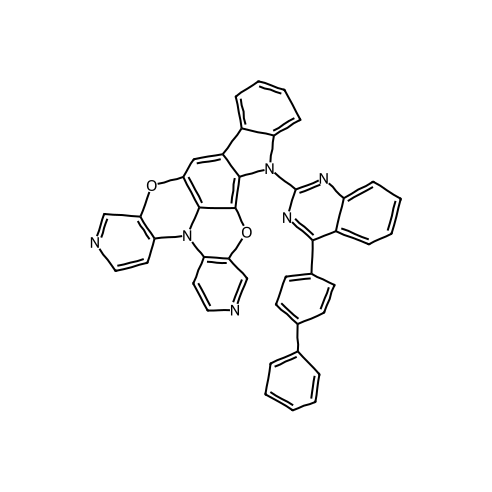 c1ccc(-c2ccc(-c3nc(-n4c5ccccc5c5cc6c7c(c54)Oc4cnccc4N7c4ccncc4O6)nc4ccccc34)cc2)cc1